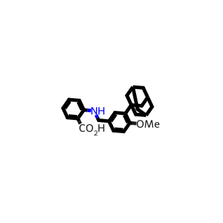 COc1ccc(CNc2ccccc2C(=O)O)cc1C12CC3CC(CC(C3)C1)C2